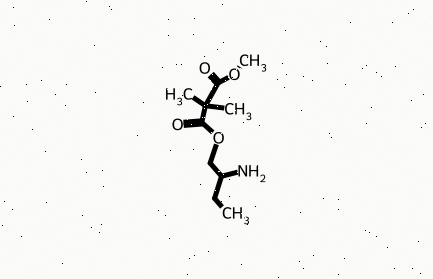 CCC(N)COC(=O)C(C)(C)C(=O)OC